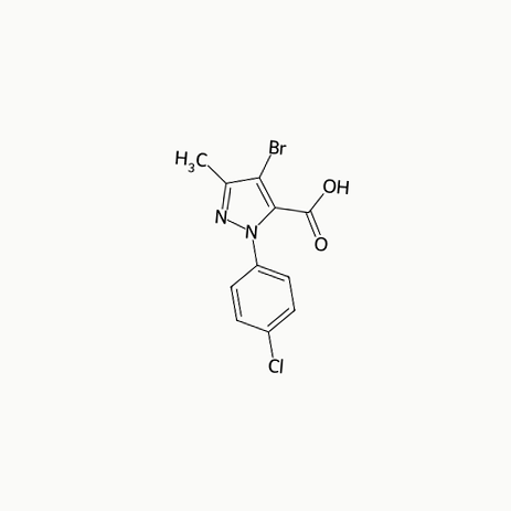 Cc1nn(-c2ccc(Cl)cc2)c(C(=O)O)c1Br